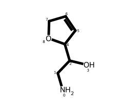 NCC(O)C1C=CCO1